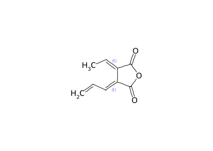 C=C/C=C1/C(=O)OC(=O)/C1=C/C